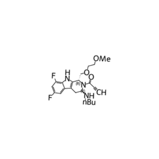 C#CC(=O)N1[C@@H](NCCCC)Cc2c([nH]c3c(F)cc(F)cc23)[C@@H]1COCCOC